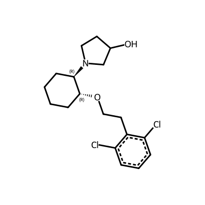 OC1CCN([C@@H]2CCCC[C@H]2OCCc2c(Cl)cccc2Cl)C1